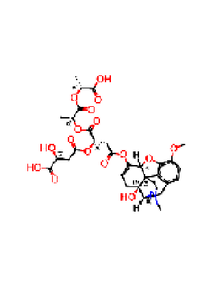 COc1ccc2c3c1O[C@H]1C(OC(=O)C[C@H](OC(=O)C[C@H](O)C(=O)O)C(=O)O[C@@H](C)C(=O)O[C@H](C)C(=O)O)=CC[C@@]4(O)[C@@H](C2)N(C)CC[C@]314